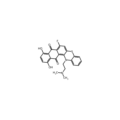 CN(C)CCn1c2ccccc2sc2cc(F)c3c(=O)c4c(O)ccc(O)c4c(=O)c3c21